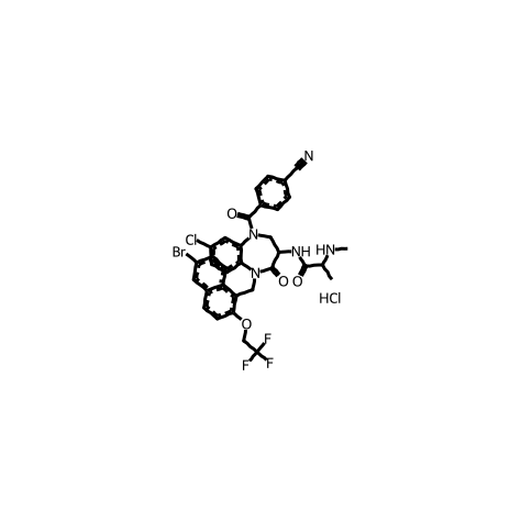 CNC(C)C(=O)NC1CN(C(=O)c2ccc(C#N)cc2)c2cc(Cl)ccc2N(Cc2c(OCC(F)(F)F)ccc3cc(Br)ccc23)C1=O.Cl